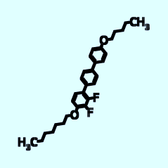 CCCCCCCOc1ccc(-c2ccc(-c3ccc(OCCCCC)cc3)cc2)c(F)c1F